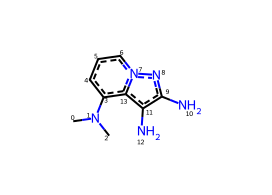 CN(C)c1cccn2nc(N)c(N)c12